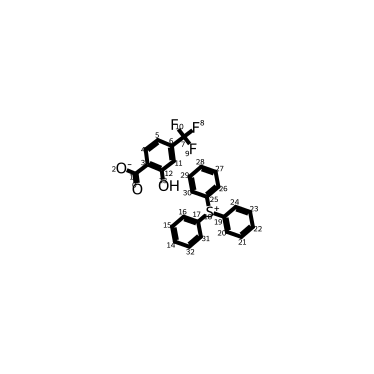 O=C([O-])c1ccc(C(F)(F)F)cc1O.c1ccc([S+](c2ccccc2)c2ccccc2)cc1